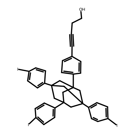 OCCC#Cc1ccc(C23CC4(c5ccc(I)cc5)CC(c5ccc(I)cc5)(CC(c5ccc(I)cc5)(C4)C2)C3)cc1